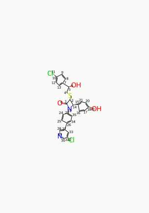 O=C1[C@H](SC[C@H](O)c2ccc(Cl)cc2)[C@@H](c2ccc(O)cc2)N1c1ccc(-c2cncc(Cl)c2)cc1